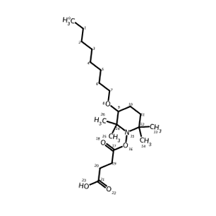 CCCCCCCCOC1CCC(C)(C)N(OC(=O)CCC(=O)O)C1(C)C